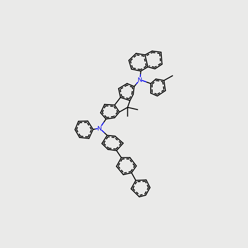 Cc1cccc(N(c2ccc3c(c2)C(C)(C)c2cc(N(c4ccccc4)c4ccc(-c5ccc(-c6ccccc6)cc5)cc4)ccc2-3)c2cccc3ccccc23)c1